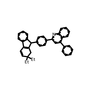 CCC1(CC)C=CC2=C(C1)C(c1ccc(-c3cc(-c4ccccc4)c4ccccc4n3)cc1)c1ccccc12